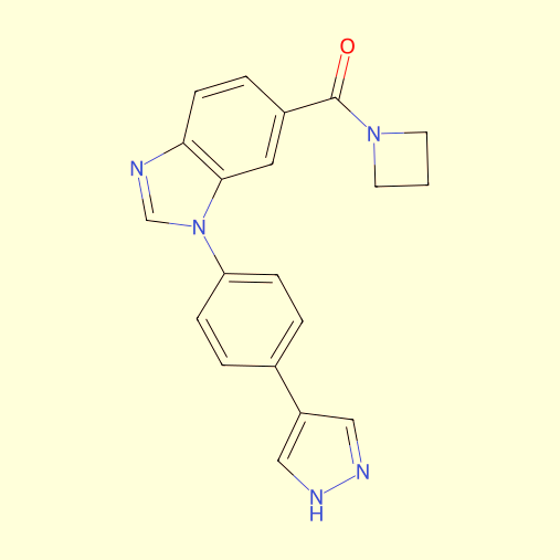 O=C(c1ccc2ncn(-c3ccc(-c4cn[nH]c4)cc3)c2c1)N1CCC1